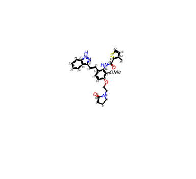 COc1c(OCCN2CCCC2=O)ccc(C=Cc2n[nH]c3ccccc23)c1NC(=O)c1sccc1C